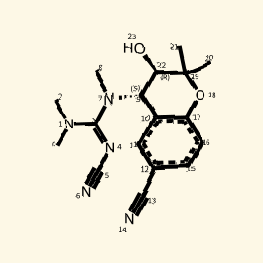 CN(C)C(=NC#N)N(C)[C@H]1c2cc(C#N)ccc2OC(C)(C)[C@@H]1O